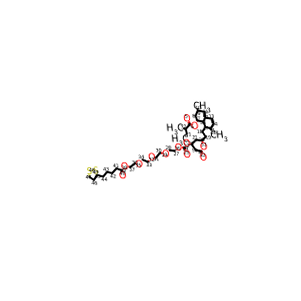 CCC(C)C(=O)OC1CC(C)C=C2C=CC(C)C(CCC3CC(OC(=O)OCCOCCOCCOCCOC(=O)CCCCC4CCSS4)CC(=O)O3)C21